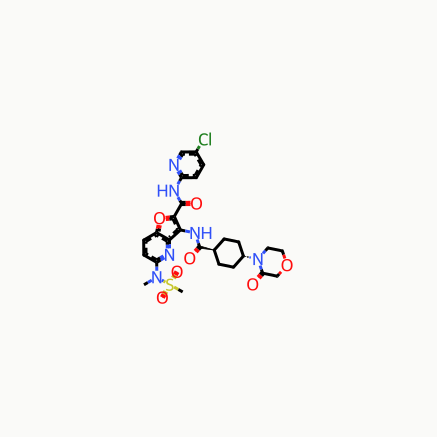 CN(c1ccc2oc(C(=O)Nc3ccc(Cl)cn3)c(NC(=O)[C@H]3CC[C@H](N4CCOCC4=O)CC3)c2n1)S(C)(=O)=O